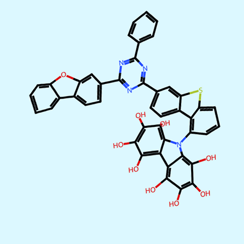 Oc1c(O)c(O)c2c(c1O)c1c(O)c(O)c(O)c(O)c1n2-c1cccc2sc3cc(-c4nc(-c5ccccc5)nc(-c5ccc6c(c5)oc5ccccc56)n4)ccc3c12